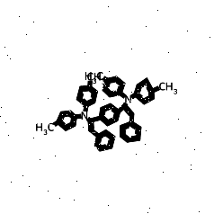 Cc1ccc(N(C(=Cc2ccccc2)c2ccc(C(=Cc3ccccc3)N(c3ccc(C)cc3)c3ccc(C)cc3)cc2)c2ccc(C)cc2)cc1